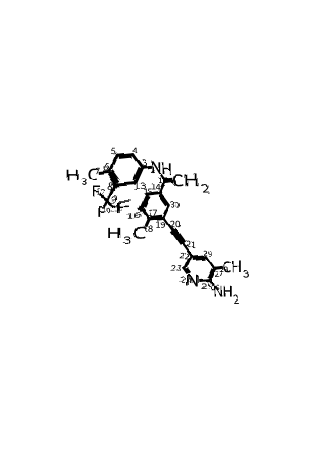 C=C(Nc1ccc(C)c(C(F)(F)F)c1)c1ccc(C)c(C#Cc2cnc(N)c(C)c2)c1